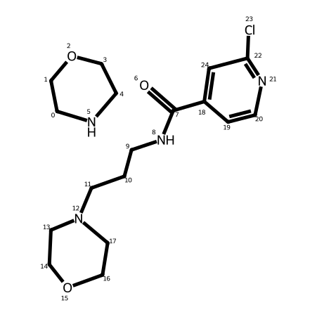 C1COCCN1.O=C(NCCCN1CCOCC1)c1ccnc(Cl)c1